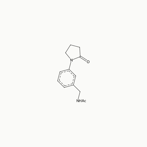 CC(=O)NCc1cccc(N2CCCC2=O)c1